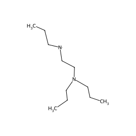 CCC[N]CCN(CCC)CCC